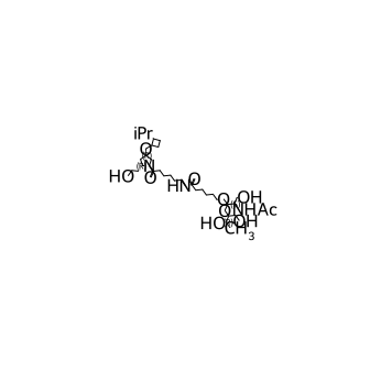 CC(=O)N[C@@H](CO)C(OCCCCCC(=O)NCCCCCC(=O)N1C[C@H](OC2CCC2C(C)C)C[C@H]1CCO)OC(CO)[C@@H](C)O